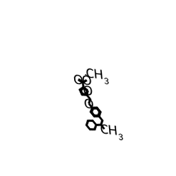 CCOC(=O)c1ccc(COc2ccc(CC(C)C3CCCCC3)cc2)o1